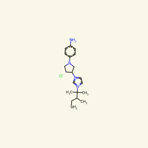 CC(C[SiH3])C(C)(C)[n+]1ccn(C2CCN(c3ccc(N)cc3)C2)c1.[Cl-]